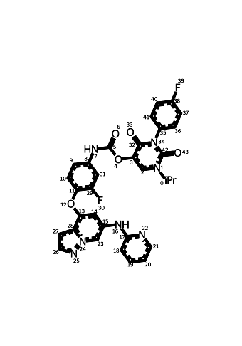 CC(C)n1cc(OC(=O)Nc2ccc(Oc3cc(Nc4ccccn4)cn4nccc34)c(F)c2)c(=O)n(-c2ccc(F)cc2)c1=O